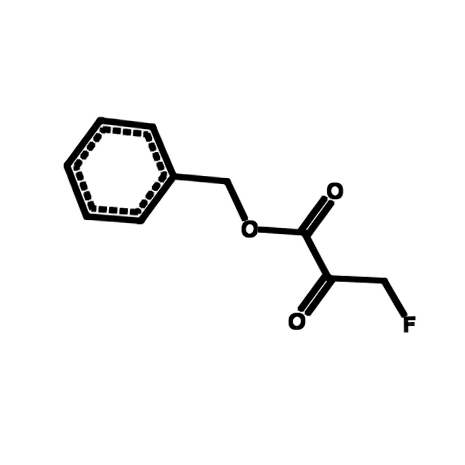 O=C(CF)C(=O)OCc1ccccc1